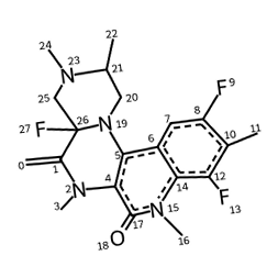 C=C1N(C)c2c(c3cc(F)c(C)c(F)c3n(C)c2=O)N2CC(C)N(C)CC12F